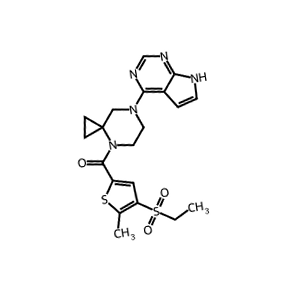 CCS(=O)(=O)c1cc(C(=O)N2CCN(c3ncnc4[nH]ccc34)CC23CC3)sc1C